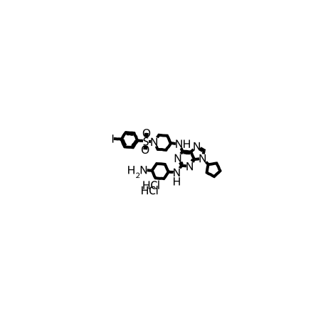 Cl.Cl.NC1CCC(Nc2nc(NC3CCN(S(=O)(=O)c4ccc(I)cc4)CC3)c3ncn(C4CCCC4)c3n2)CC1